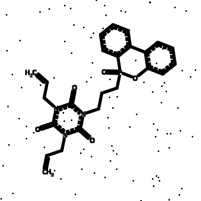 C=CCn1c(=O)n(CC=C)c(=O)n(CCCP2(=O)Oc3ccccc3-c3ccccc32)c1=O